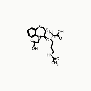 CC(=O)NCCCC[C@H](N[C@H]1CSc2ccccc2N(CC(=O)O)C1=O)C(=O)O